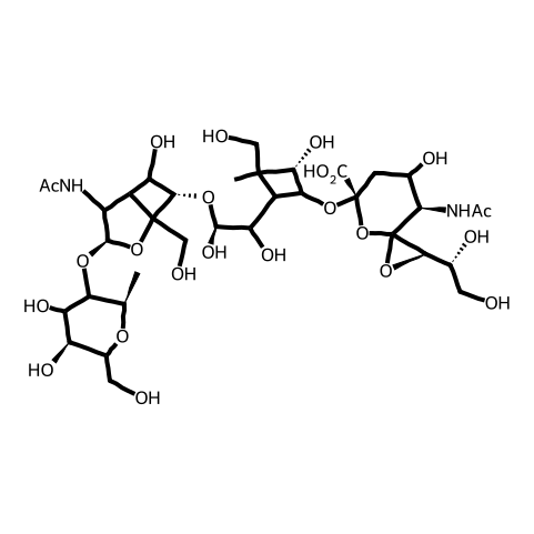 CC(=O)NC1C2C(O)[C@H](O[C@H](O)C(O)C3C(O[C@]4(C(=O)O)CC(O)[C@@H](NC(C)=O)C5(O[C@@H]5[C@H](O)CO)O4)[C@@H](O)C3(C)CO)C2(CO)O[C@H]1OC1C(O)[C@H](O)C(CO)O[C@@H]1C